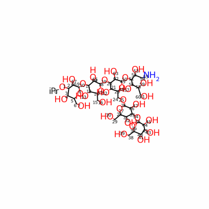 CC(C)OC1C(O)C(CO)OC(OC2C(O)C(CO)OC(OC3C(O)C(COC4OC(CO)C(O)C(OC5OC(CO)C(O)C(O)C5O)C4O)OC(OC(C(O)CN)C(O)C(O)CO)C3O)C2O)C1O